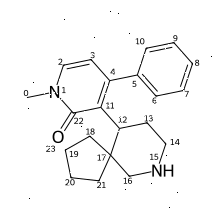 Cn1ccc(-c2ccccc2)c(C2CCNCC23CCCC3)c1=O